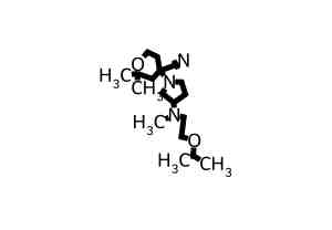 CC(C)OCCN(C)C1CCN(C2(C#N)CCOC(C)(C)C2)C1